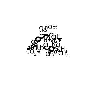 CCCCCCCCSC(=O)Oc1cc(Cl)nnc1-c1ccccc1.CCOC(=O)C(Cl)Cc1cc(-n2nc(C)n(C(F)F)c2=O)c(F)cc1Cl.C[S+](C)C.O=C(O)CNCP(=O)([O-])O